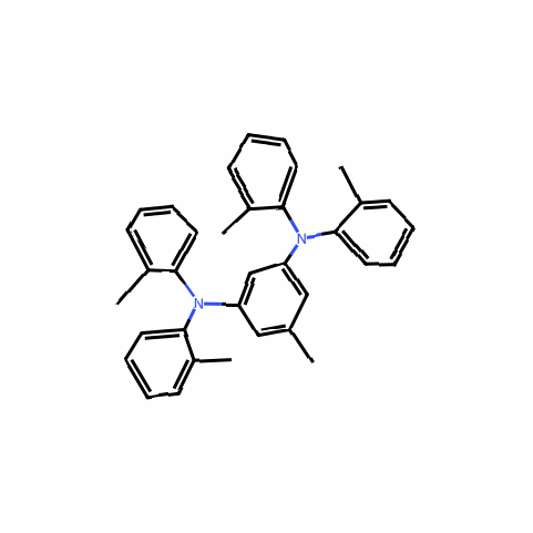 Cc1cc(N(c2ccccc2C)c2ccccc2C)cc(N(c2ccccc2C)c2ccccc2C)c1